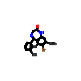 COc1cc2c(c(OC)c1Br)C(c1cccc(C#N)c1)=NCC(=O)N2